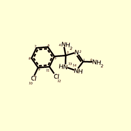 NC1=NC(N)(c2cccc(Cl)c2Cl)NN1